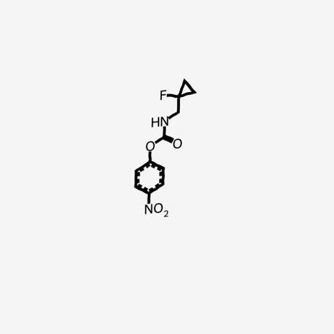 O=C(NCC1(F)CC1)Oc1ccc([N+](=O)[O-])cc1